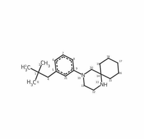 CC(C)(C)Cc1cccc(N2CCNC3(CCCCC3)C2)c1